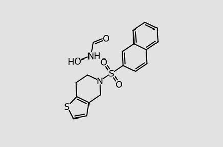 O=CNO.O=S(=O)(c1ccc2ccccc2c1)N1CCc2sccc2C1